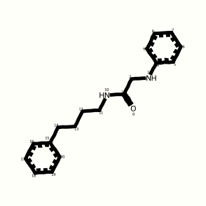 O=C(CNc1ccccc1)NCCCCc1ccccc1